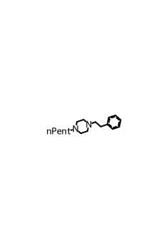 CCCCCN1CCN(CCc2ccccc2)CC1